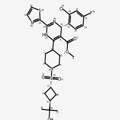 COC(=O)C1=C(C2CCN(S(=O)(=O)[C@H]3C[C@H](C(C)(C)O)C3)CC2)NC(c2nccs2)=N[C@@H]1c1ccc(F)cc1Cl